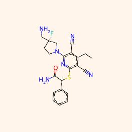 CCc1c(C#N)c(SC(C(N)=O)c2ccccc2)nc(N2CC[C@@](F)(CN)C2)c1C#N